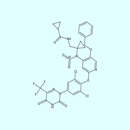 O=C(NCC1(N(c2cc(Oc3c(Cl)cc(-n4nc(C(F)(F)F)c(=O)[nH]c4=O)cc3Cl)ncc2OCc2ccccc2)[SH](=O)=O)CC1)C1CC1